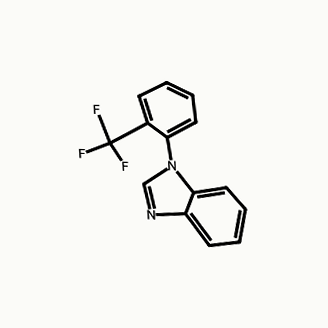 FC(F)(F)c1ccccc1-n1cnc2ccccc21